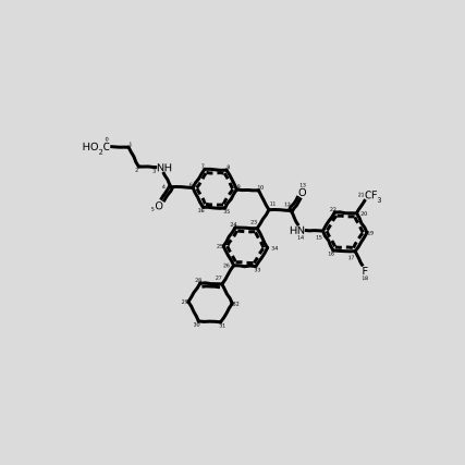 O=C(O)CCNC(=O)c1ccc(CC(C(=O)Nc2cc(F)cc(C(F)(F)F)c2)c2ccc(C3=CCCCC3)cc2)cc1